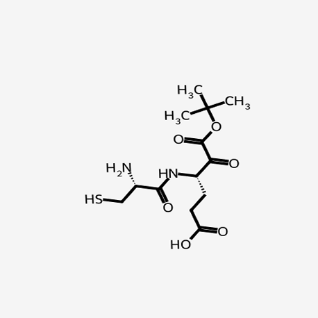 CC(C)(C)OC(=O)C(=O)[C@H](CCC(=O)O)NC(=O)[C@@H](N)CS